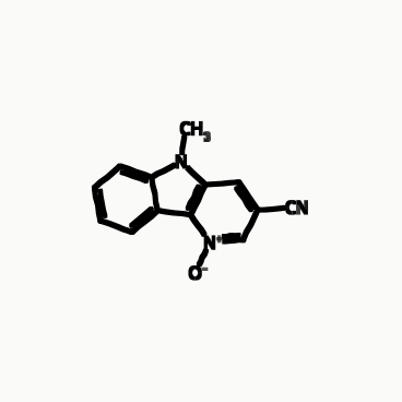 Cn1c2ccccc2c2c1cc(C#N)c[n+]2[O-]